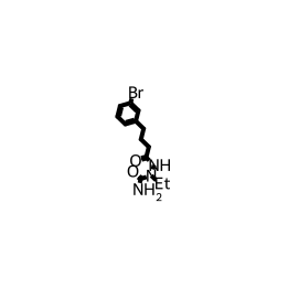 CCN(NC(=O)CCCc1cccc(Br)c1)C(N)=O